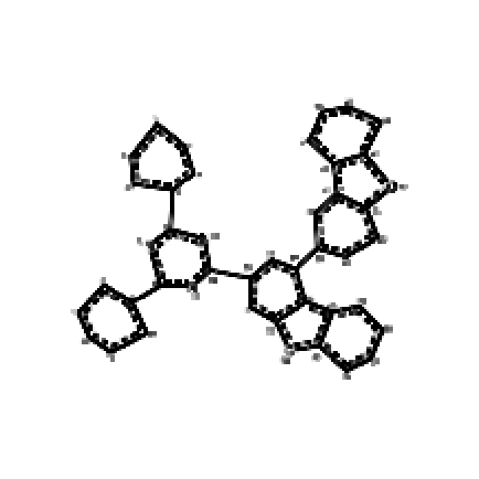 c1ccc(-c2nc(-c3ccccc3)nc(-c3cc(-c4ccc5oc6ccccc6c5c4)c4c(c3)oc3ccccc34)n2)cc1